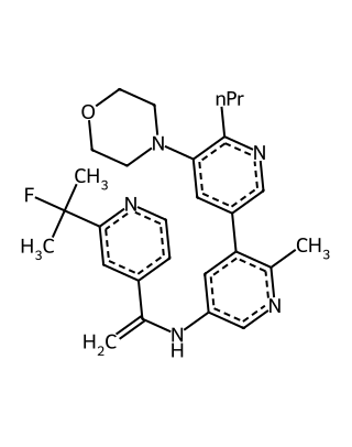 C=C(Nc1cnc(C)c(-c2cnc(CCC)c(N3CCOCC3)c2)c1)c1ccnc(C(C)(C)F)c1